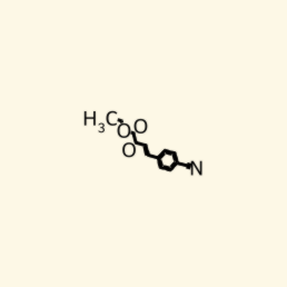 CCOC(=O)C(=O)C=Cc1ccc(C#N)cc1